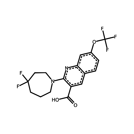 O=C(O)c1cc2ccc(OC(F)(F)F)cc2nc1N1CCCC(F)(F)CC1